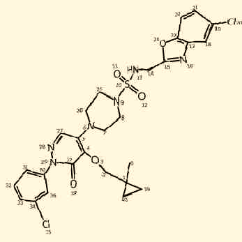 CC1(COc2c(N3CCN(S(=O)(=O)NCc4nc5cc(Cl)ccc5o4)CC3)cnn(-c3cccc(Cl)c3)c2=O)CC1